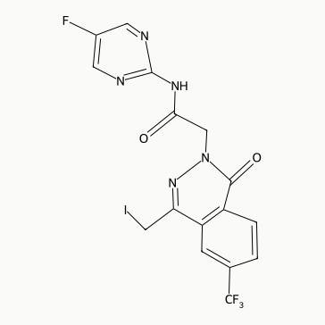 O=C(Cn1nc(CI)c2cc(C(F)(F)F)ccc2c1=O)Nc1ncc(F)cn1